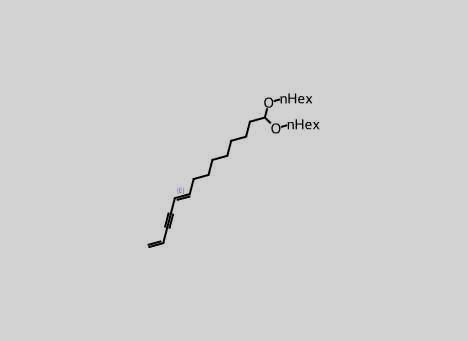 C=CC#C/C=C/CCCCCCCC(OCCCCCC)OCCCCCC